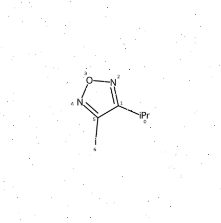 CC(C)c1nonc1I